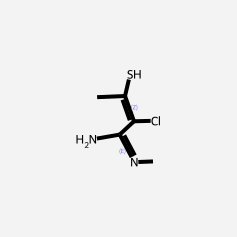 C/N=C(N)\C(Cl)=C(/C)S